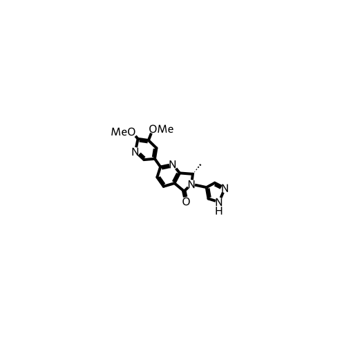 COc1cc(-c2ccc3c(n2)[C@H](C)N(c2cn[nH]c2)C3=O)cnc1OC